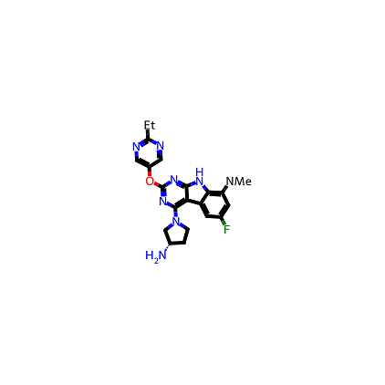 CCc1ncc(Oc2nc(N3CC[C@H](N)C3)c3c(n2)[nH]c2c(NC)cc(F)cc23)cn1